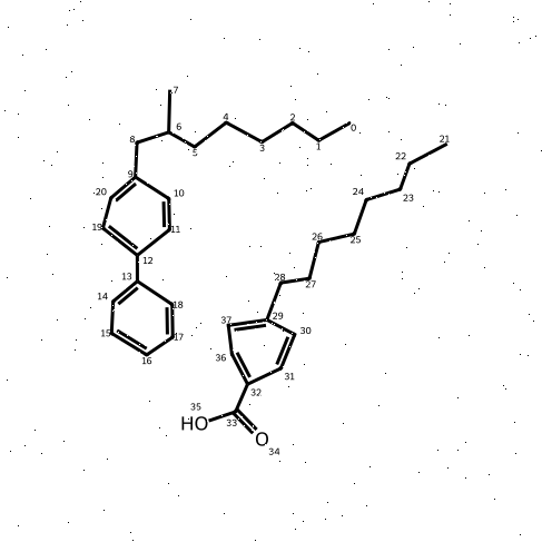 CCCCCCC(C)Cc1ccc(-c2ccccc2)cc1.CCCCCCCCc1ccc(C(=O)O)cc1